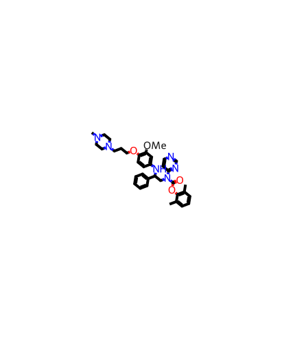 COc1cc(NC(CN(C(=O)Oc2c(C)cccc2C)c2ccncn2)c2ccccc2)ccc1OCCCN1CCN(C)CC1